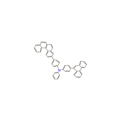 c1ccc(N(c2ccc(-c3ccc4c(ccc5ccc6ccccc6c54)c3)cc2)c2ccc(-c3cc4ccccc4c4ccccc34)cc2)cc1